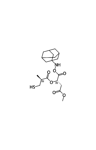 COC(=O)C[C@H](OC(=O)[C@H](C)CS)C(=O)ONC12CC3CC(CC(C3)C1)C2